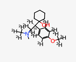 [2H]c1c([2H])c([C@]([2H])(C2(O)CCCCC2)C([2H])([2H])N(C)C([2H])([2H])[2H])c([2H])c([2H])c1OC([2H])([2H])[2H]